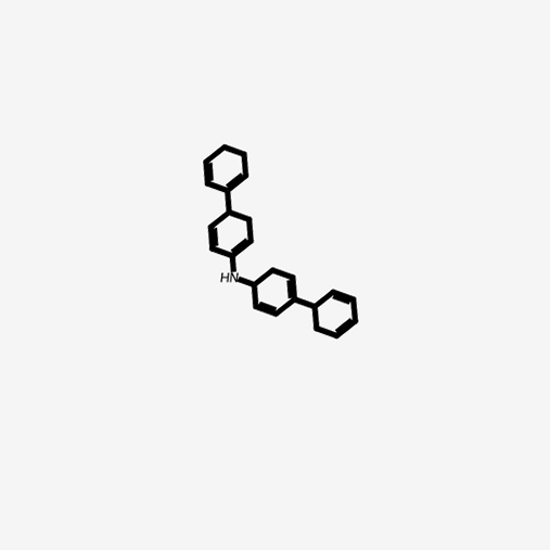 C1=CCC(C2=CCC(NC3=CCC(C4=CCCC=C4)C=C3)C=C2)C=C1